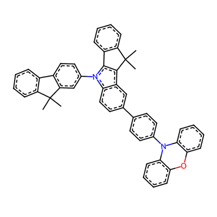 CC1(C)c2ccccc2-c2ccc(-n3c4c(c5cc(-c6ccc(N7c8ccccc8Oc8ccccc87)cc6)ccc53)C(C)(C)c3ccccc3-4)cc21